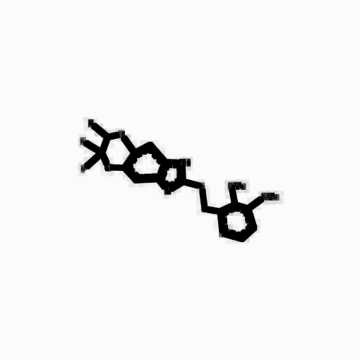 COc1ccnc(CSc2nc3cc4c(cc3[nH]2)OC(F)C(F)(F)O4)c1OC